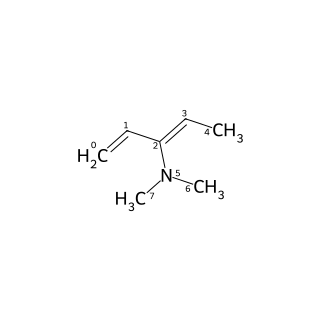 C=CC(=CC)N(C)C